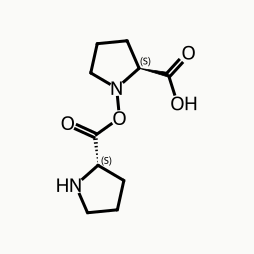 O=C(ON1CCC[C@H]1C(=O)O)[C@@H]1CCCN1